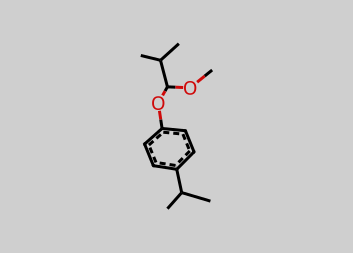 COC(Oc1ccc(C(C)C)cc1)C(C)C